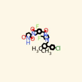 CC1(C)CCC(CN2CCN(C(=O)c3cc(F)c4c(c3)CN(C3CCC(=O)NC3=O)C4=O)C(CF)C2)=C(c2ccc(Cl)cc2)C1